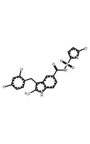 Cc1[nH]c2ccc(C(=O)NS(=O)(=O)c3ccc(Cl)s3)cc2c1Cc1ccc(Cl)cc1Cl